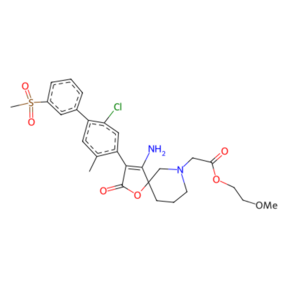 COCCOC(=O)CN1CCCC2(C1)OC(=O)C(c1cc(Cl)c(-c3cccc(S(C)(=O)=O)c3)cc1C)=C2N